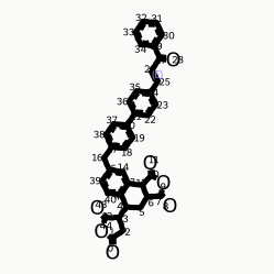 O=C1CC(C2CC3C(=O)OC(=O)C3c3cc(Cc4ccc(-c5ccc(/C=C/C(=O)c6ccccc6)cc5)cc4)ccc32)C(=O)O1